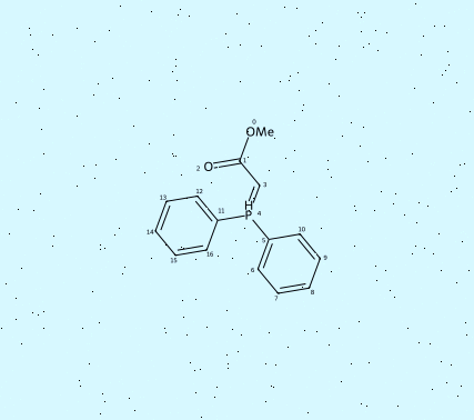 COC(=O)C=[PH](c1ccccc1)c1ccccc1